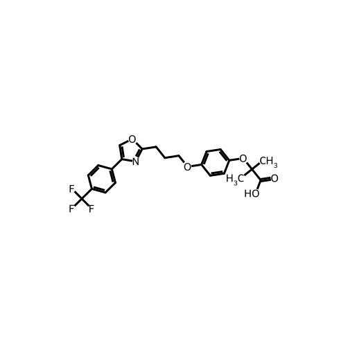 CC(C)(Oc1ccc(OCCCc2nc(-c3ccc(C(F)(F)F)cc3)co2)cc1)C(=O)O